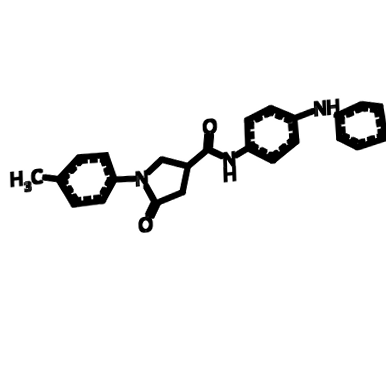 Cc1ccc(N2CC(C(=O)Nc3ccc(Nc4ccccc4)cc3)CC2=O)cc1